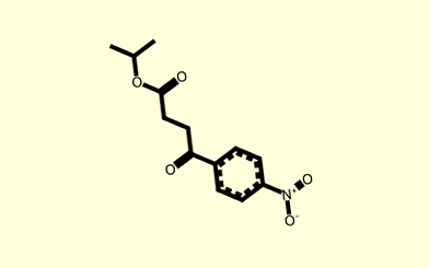 CC(C)OC(=O)CCC(=O)c1ccc([N+](=O)[O-])cc1